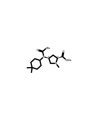 CNC(=O)[C@@H]1C[C@H](N(C(=O)C(C)(C)C)C2CCC(C)(C)CC2)CN1C